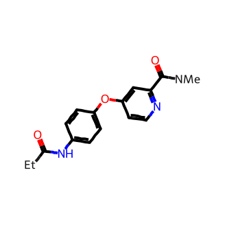 CCC(=O)Nc1ccc(Oc2ccnc(C(=O)NC)c2)cc1